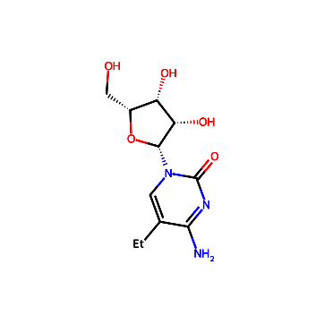 CCc1cn([C@@H]2O[C@H](CO)[C@H](O)[C@@H]2O)c(=O)nc1N